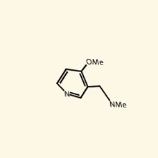 CNCc1cnccc1OC